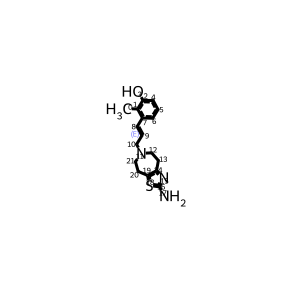 Cc1c(O)cccc1/C=C/CN1CCc2nc(N)sc2CC1